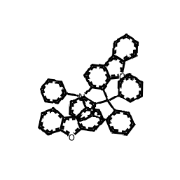 c1ccc(N(c2ccc3c(oc4ccccc43)c2C2(c3ccccc3)c3ccccc3-c3ccccc32)c2cccc3oc4ccccc4c23)cc1